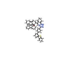 c1ccc2c(c1)-c1ccccc1C21c2ccccc2-c2ccc(-c3cn4c(-c5ccc(-c6cccc7c6sc6ccccc67)cc5)nnc4c4ccccc34)cc21